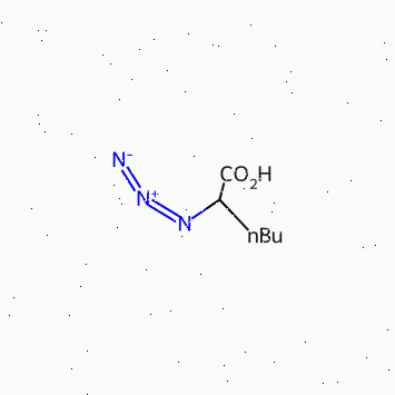 CCCCC(N=[N+]=[N-])C(=O)O